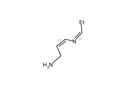 CC/C=N\C=C/CN